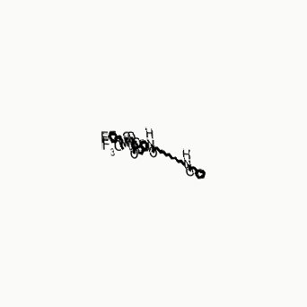 C[C@H](N(Cc1ccc(F)cc1)C(=O)CN1C(=O)O[C@@]2(CCc3cc(NC(=O)CCCCCCCCCCNC(=O)Cc4ccccc4)ccc32)C1=O)C(F)(F)F